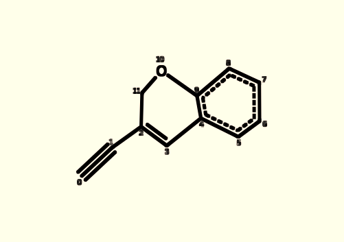 C#CC1=Cc2ccccc2OC1